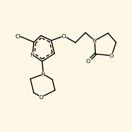 O=C1OCCN1CCOc1cc(Cl)nc(N2CCOCC2)c1